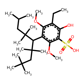 CCc1c(O)c(S(=O)(=O)O)c(OC)c(C(C(C)(C)CC(C)C)C(C)(C)CC(C)(C)C)c1OC